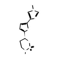 CN1CC[C@@H](c2ccc(-c3cn(C)cn3)s2)NS1(=O)=O